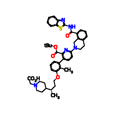 Cc1c(OCC[C@H](C)C2CCN(CC(=O)O)CC2)cccc1-c1ccc(N2CCc3cccc(C(=O)Nc4nc5ccccc5s4)c3C2)nc1C(=O)OC(C)(C)C